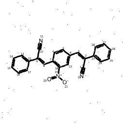 N#CC(=Cc1ccc(C=C(C#N)c2ccccc2)c([N+](=O)[O-])c1)c1ccccc1